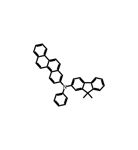 CC1(C)c2ccccc2-c2ccc(N(c3ccccc3)c3ccc4c(ccc5c6ccccc6ccc45)c3)cc21